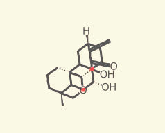 C=C1C(=O)C23CC[C@H]1CC2[C@@]12CCC[C@@](C)(CO[C@H]1CO)C2C[C@H]3O